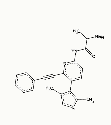 CNC(C)C(=O)Nc1ccc(-c2c(C)ncn2C)c(C#Cc2ccccc2)n1